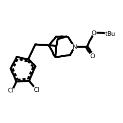 CC(C)(C)OC(=O)N1CC2CCC1CC2Cc1ccc(Cl)c(Cl)c1